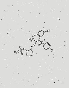 CC(CCN1CCCCC1CS(C)(=O)=O)N(c1cc(Cl)ccc1Cl)S(=O)(=O)c1ccc(Cl)cc1